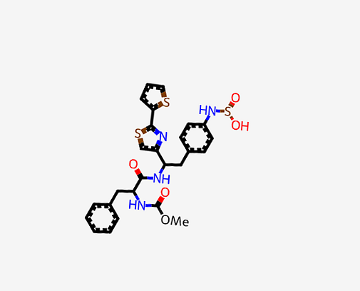 COC(=O)NC(Cc1ccccc1)C(=O)NC(Cc1ccc(NS(=O)O)cc1)c1csc(-c2cccs2)n1